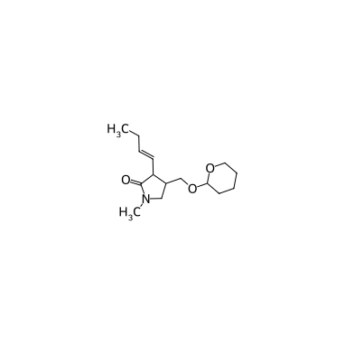 CCC=CC1C(=O)N(C)CC1COC1CCCCO1